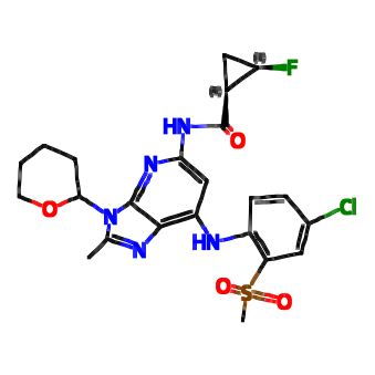 Cc1nc2c(Nc3ccc(Cl)cc3S(C)(=O)=O)cc(NC(=O)[C@H]3C[C@H]3F)nc2n1C1CCCCO1